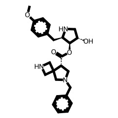 COc1ccc(C[C@H]2NC[C@H](O)[C@H]2OC(=O)[C@@H]2CN(Cc3ccccc3)CC23CNC3)cc1